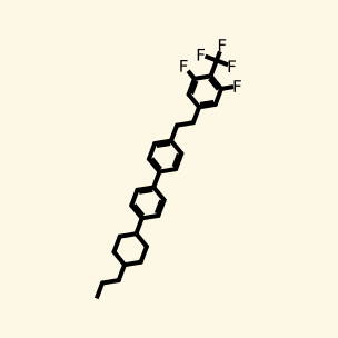 CCCC1CCC(c2ccc(-c3ccc(CCc4cc(F)c(C(F)(F)F)c(F)c4)cc3)cc2)CC1